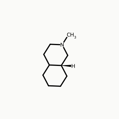 CN1CCC2CCCC[C@H]2C1